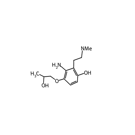 CNCCc1c(O)ccc(OCC(C)O)c1N